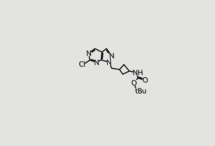 CC(C)(C)OC(=O)NC1CC(Cn2ncc3cnc(Cl)nc32)C1